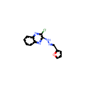 Clc1nc2ccccc2nc1NN=Cc1ccco1